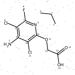 CCC.Nc1c(Cl)c(F)nc(OCC(=O)O)c1Cl